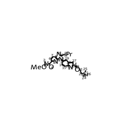 CON(C)C(=O)c1ccc2nc(C(C)C)n(-c3ccc4nn(COCC[Si](C)(C)C)cc4c3)c2n1